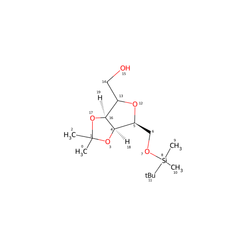 CC1(C)O[C@@H]2[C@H](CO[Si](C)(C)C(C)(C)C)OC(CO)[C@@H]2O1